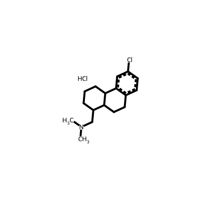 CN(C)CC1CCCC2c3cc(Cl)ccc3CCC12.Cl